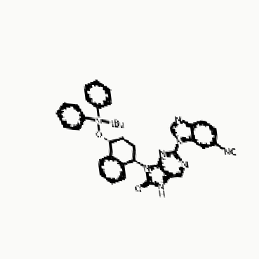 [C-]#[N+]c1ccc2ncn(-c3ncc4[nH]c(=O)n([C@@H]5CC[C@@H](O[Si](c6ccccc6)(c6ccccc6)C(C)(C)C)c6ccccc65)c4n3)c2c1